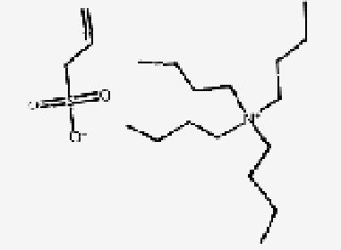 C=CCS(=O)(=O)[O-].CCCC[N+](CCCC)(CCCC)CCCC